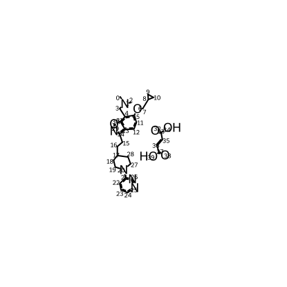 CN(C)Cc1c(OCC2CC2)ccc2c(CCC3CCN(c4cccnn4)CC3)noc12.O=C(O)/C=C/C(=O)O